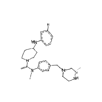 C=C(N1CCC(Nc2cccc(F)c2)CC1)N(C)c1ccc(CN2CCN[C@@H](C)C2)cc1